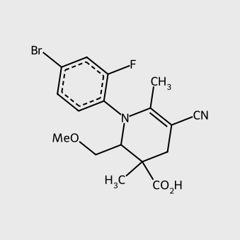 COCC1N(c2ccc(Br)cc2F)C(C)=C(C#N)CC1(C)C(=O)O